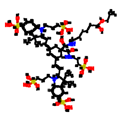 CCOC(=O)CCCCCNC(=O)C1(C(=O)NCCS(=O)(=O)O)CC(/C=C/C2=[N+](CCCS(=O)(=O)O)c3ccc(S(=O)(=O)O)cc3C2(C)C)=CC(=C/C=C2/N(CCCS(=O)(=O)O)c3ccc(S(=O)(=O)O)cc3C2(C)C)/C1